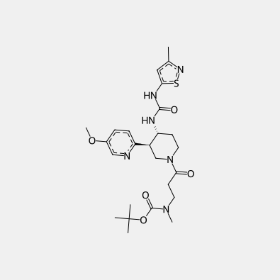 COc1ccc([C@@H]2CN(C(=O)CCN(C)C(=O)OC(C)(C)C)CC[C@H]2NC(=O)Nc2cc(C)ns2)nc1